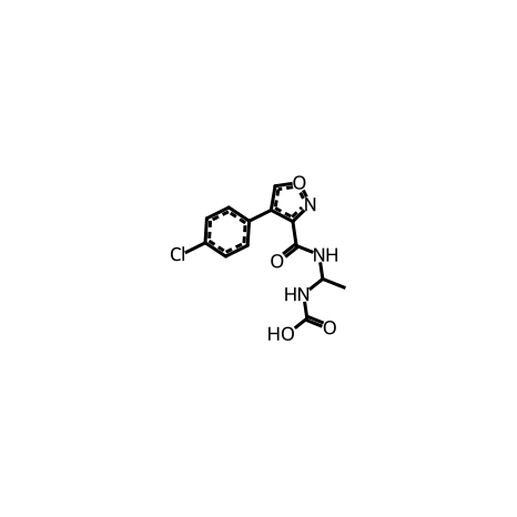 CC(NC(=O)O)NC(=O)c1nocc1-c1ccc(Cl)cc1